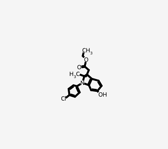 CCOC(=O)Cc1c(C)n(-c2ccc(Cl)cc2)c2cc(O)ccc12